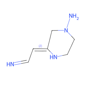 N=C/C=C1/CN(N)CCN1